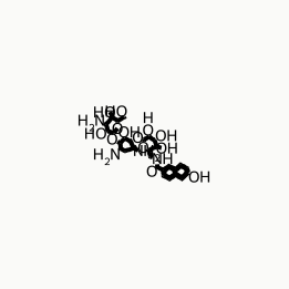 NC1C[C@H](N)C(OC2OC(CO)C(O)C(N)C2O)C(O)C1OC1OC(CNC(=O)c2ccc3cc(O)ccc3c2)C(O)C(O)C1O